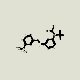 CC(C)(C)N(C(=O)O)c1cccc(SCc2cccc([N+](=O)[O-])c2)c1